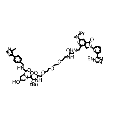 CCn1cnnc1-c1cccc(N2Cc3c(cc(N(C)C(C)C)nc3CNCC(=O)NCCOCCOCCOCC(=O)N[C@H](C(=O)N3C[C@H](O)C[C@H]3C(=O)NCc3ccc(-c4scnc4C)cc3)C(C)(C)C)C2=O)n1